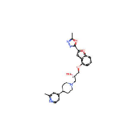 Cc1cc(C2CCN(C[C@H](O)COc3cccc4oc(-c5nnc(C)o5)cc34)CC2)ccn1